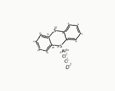 [Al+3].[Cl-].[Cl-].[Cl-].c1ccc2c(c1)Sc1ccccc1S2